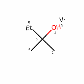 CCC(C)(C)O.[V]